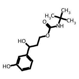 CC(C)(C)NC(=O)OCCC(O)c1cccc(O)c1